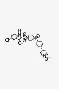 COc1c(S(=O)(=O)N2CCN(C(=O)c3ccc(-c4cc[n+]([O-])cc4)cc3)CC2)[nH]c2ccc(Cl)cc12